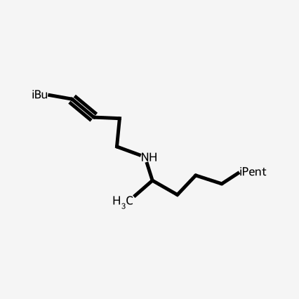 CCCC(C)CCCC(C)NCCC#CC(C)CC